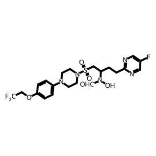 O=CN(O)C(CCc1ncc(F)cn1)CS(=O)(=O)N1CCN(c2ccc(OCC(F)(F)F)cc2)CC1